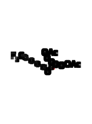 CC(=O)OCCOCCOc1ccc(C(=O)c2ccc(-c3ccc(-c4ccc(-c5ccc(C(F)(F)F)cc5)cc4)cc3)cc2)cc1OCCOCCOC(C)=O